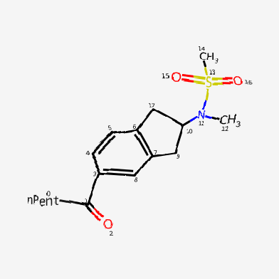 CCCCCC(=O)c1ccc2c(c1)CC(N(C)S(C)(=O)=O)C2